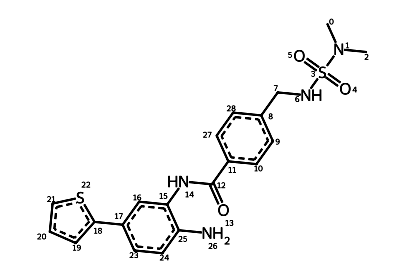 CN(C)S(=O)(=O)NCc1ccc(C(=O)Nc2cc(-c3cccs3)ccc2N)cc1